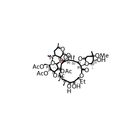 CC[C@H]1OC(=O)[C@H](C)[C@@H](O[C@H]2C[C@@](C)(OC)[C@@H](O)[C@H](C)O2)[C@H](C)[C@@H](O[C@@H]2O[C@H](C)CC(N(C)C)[C@H]2OC2O[C@H](COC(C)=O)[C@@H](OC(C)=O)[C@H](OC(C)=O)[C@H]2OC(C)=O)[C@](C)(O)C[C@@H](C)CN(C)[C@H](C)[C@@H](O)[C@]1(C)O